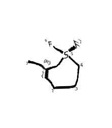 C[C@@H]1CCCS1(F)F